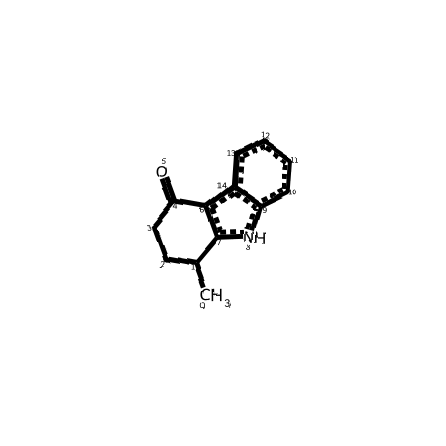 CC1CCC(=O)c2c1[nH]c1ccccc21